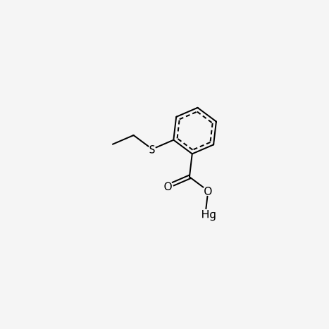 CCSc1ccccc1C(=O)[O][Hg]